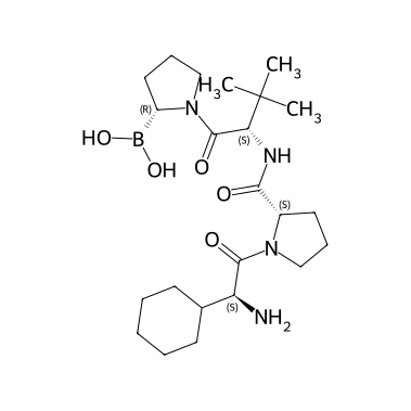 CC(C)(C)[C@H](NC(=O)[C@@H]1CCCN1C(=O)[C@@H](N)C1CCCCC1)C(=O)N1CCC[C@H]1B(O)O